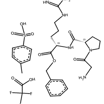 Cc1ccc(S(=O)(=O)O)cc1.N=C(N)NCCC[C@H](NC(=O)[C@@H]1CCCN1C(=O)CN)C(=O)OCc1ccccc1.O=C(O)C(F)(F)F